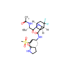 CC(C)(C)[C@H](NC(=O)C(F)(F)F)C(=O)N1[C@H]2CC[C@@H]([C@H]1C(=O)N[C@@H](/C=C(\F)S(C)(=O)=O)C[C@@H]1CCNC1=O)C(F)(F)C2